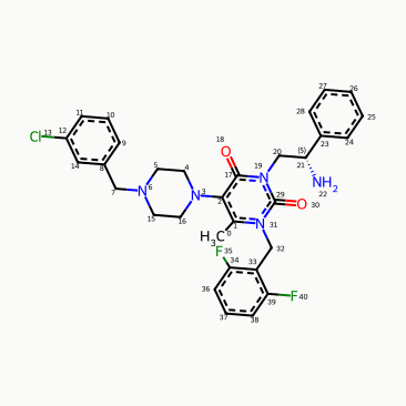 Cc1c(N2CCN(Cc3cccc(Cl)c3)CC2)c(=O)n(C[C@@H](N)c2ccccc2)c(=O)n1Cc1c(F)cccc1F